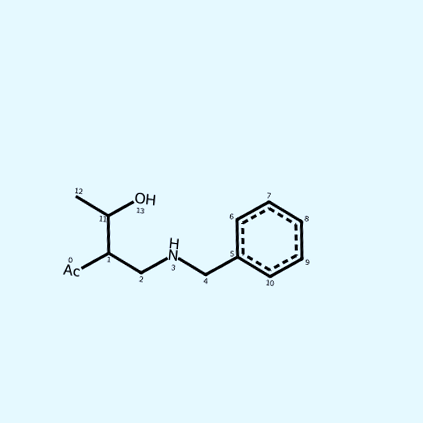 CC(=O)C(CNCc1ccccc1)C(C)O